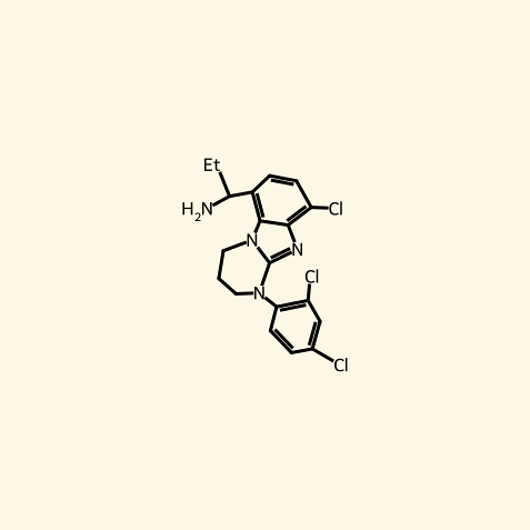 CCC(N)c1ccc(Cl)c2nc3n(c12)CCCN3c1ccc(Cl)cc1Cl